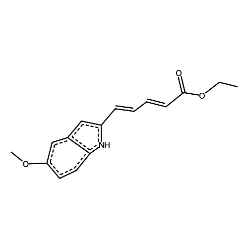 CCOC(=O)C=CC=Cc1cc2cc(OC)ccc2[nH]1